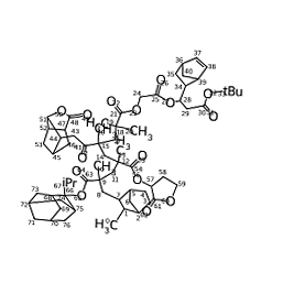 CC1C2CCC(C2)C1CC(C)(CC(C)(CC(C)(CC(C)(C)C(=O)OCC(=O)OC(CC(=O)OC(C)(C)C)C1CC2C=CC1C2)C(=O)CC1C2CC3C(=O)OC1C3C2)C(=O)OC1CCOC1=O)C(=O)OC1(C(C)C)C2CC3CC(C2)CC1C3